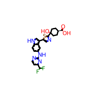 O=C(O)[C@H]1CC[C@](O)(c2ncc(-c3c[nH]c4ccc(Nc5nccc(C(F)F)n5)cc34)s2)CC1